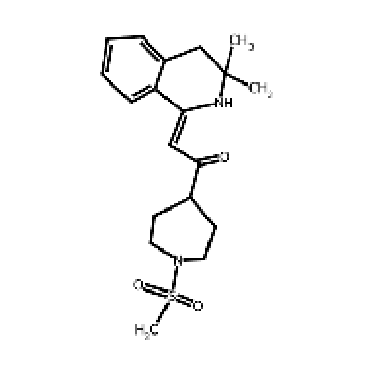 CC1(C)Cc2ccccc2C(=CC(=O)C2CCN(S(C)(=O)=O)CC2)N1